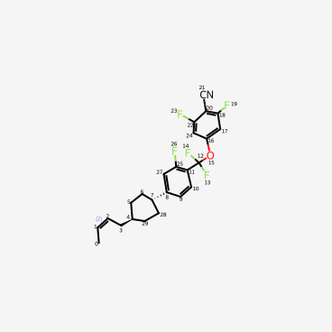 C/C=C\C[C@H]1CC[C@H](c2ccc(C(F)(F)Oc3cc(F)c(C#N)c(F)c3)c(F)c2)CC1